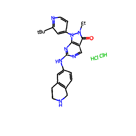 CCn1c(=O)c2cnc(Nc3ccc4c(c3)CCNC4)nc2n1-c1ccnc(C(C)(C)C)c1.Cl.Cl